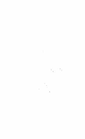 COc1ccc(-c2noc(C3C[C@@H](O)N(c4ccc(Cl)cc4)C3)n2)cc1F